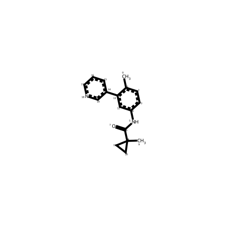 Cc1ccc(NC(=O)C2(C)CC2)cc1-c1cccnc1